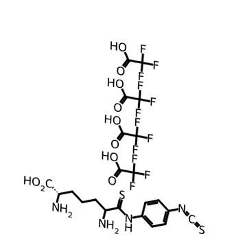 NC(CCC[C@H](N)C(=O)O)C(=S)Nc1ccc(N=C=S)cc1.O=C(O)C(F)(F)F.O=C(O)C(F)(F)F.O=C(O)C(F)(F)F.O=C(O)C(F)(F)F